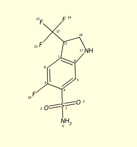 NS(=O)(=O)c1cc2c(cc1F)C(C(F)(F)F)CN2